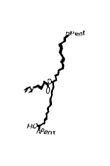 CCCCCC=CCC=CCCCCCCCCC(CCCCCCCCC=CCC(O)CCCCC)OC(=O)CCCN(C)C